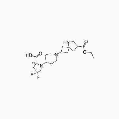 CCOC(=O)C1CNC2(C1)CC(N1CCC(N3CC(F)(F)C[C@@H]3C(=O)O)CC1)C2